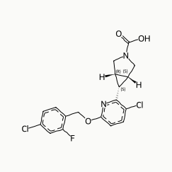 O=C(O)N1C[C@@H]2[C@H](C1)[C@@H]2c1nc(OCc2ccc(Cl)cc2F)ccc1Cl